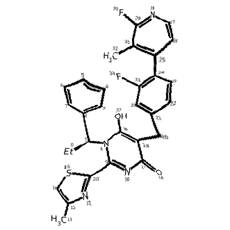 CC[C@@H](c1ccccc1)n1c(-c2nc(C)cs2)nc(=O)c(Cc2ccc(-c3ccnc(F)c3C)c(F)c2)c1O